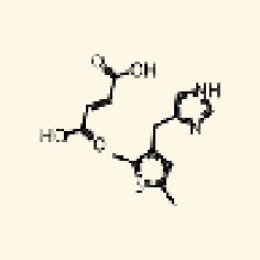 Cc1cc(Cc2c[nH]cn2)c(C)s1.O=C(O)/C=C/C(=O)O